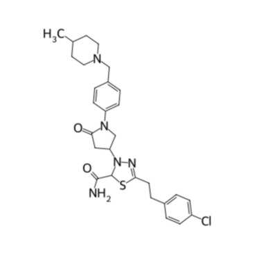 CC1CCN(Cc2ccc(N3CC(N4N=C(CCc5ccc(Cl)cc5)SC4C(N)=O)CC3=O)cc2)CC1